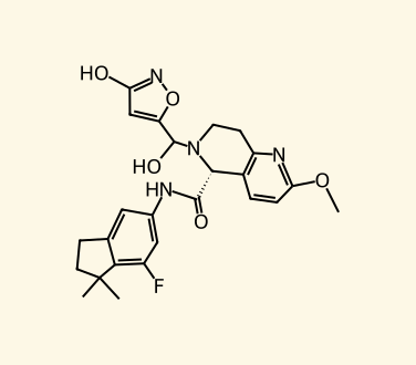 COc1ccc2c(n1)CCN(C(O)c1cc(O)no1)[C@H]2C(=O)Nc1cc(F)c2c(c1)CCC2(C)C